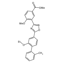 CCOc1cc(-c2nc(-c3cc(C(=O)OC)ccc3OC)no2)ccc1-c1ccccc1C